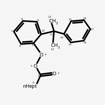 CCCCCCCC(=O)OOc1ccccc1C(C)(C)c1ccccc1